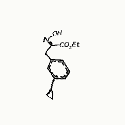 CCOC(=O)/C(Cc1cccc(C2CC2)c1)=N\O